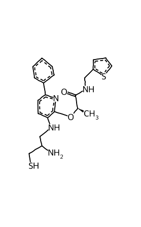 C[C@@H](Oc1nc(-c2ccccc2)ccc1NCC(N)CS)C(=O)NCc1cccs1